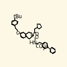 CC(C)(C)c1ccc(CCOc2ccc3c(c2)CN(C(=O)CC2CCCC2)[C@H](C(=O)N[C@@H](Cc2ccc(-c4ccccc4)cc2)C(=O)O)C3)cc1